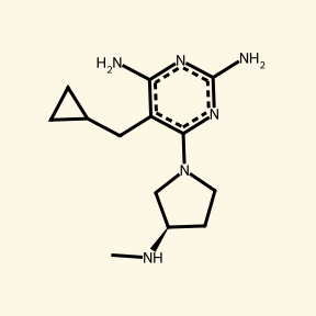 CN[C@@H]1CCN(c2nc(N)nc(N)c2CC2CC2)C1